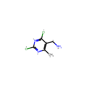 Cc1nc(Cl)nc(Cl)c1CN